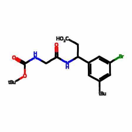 CC(C)(C)OC(=O)NCC(=O)NC(CC(=O)O)c1cc(Br)cc(C(C)(C)C)c1